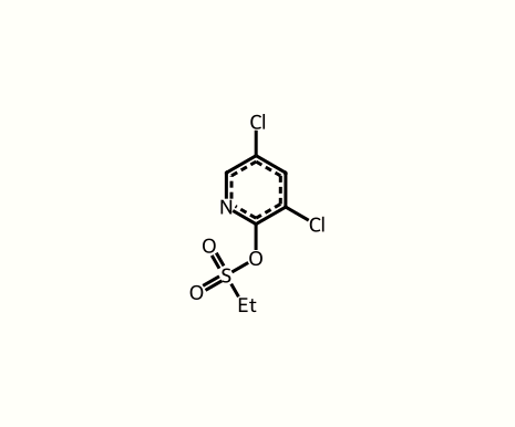 CCS(=O)(=O)Oc1ncc(Cl)cc1Cl